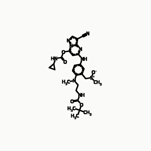 CN(CCNC(=O)OC(C)(C)C)c1ccc(Nc2cc(OC(=O)NC3CC3)n3ncc(C#N)c3n2)cc1C[S+](C)[O-]